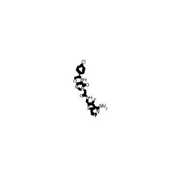 Nc1nncc2sc(CNC(=O)Cn3cnc4c(c3=O)N[C@H](c3ccc(Cl)cc3)CO4)c(F)c12